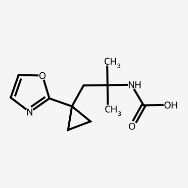 CC(C)(CC1(c2ncco2)CC1)NC(=O)O